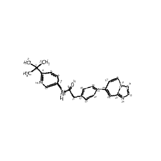 CC(C)(O)c1ccc(NC(=O)Cc2ccc(-c3ccn4ncnc4c3)cc2)cn1